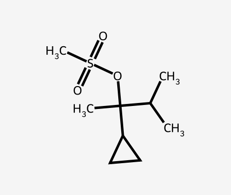 CC(C)C(C)(OS(C)(=O)=O)C1CC1